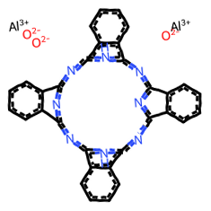 [Al+3].[Al+3].[O-2].[O-2].[O-2].c1ccc2c(c1)-c1nc-2nc2[nH]c(nc3nc(nc4[nH]c(n1)c1ccccc41)-c1ccccc1-3)c1ccccc21